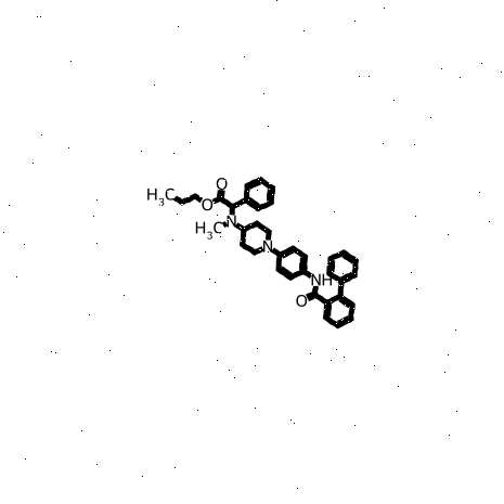 CCCOC(=O)C(c1ccccc1)N(C)C1CCN(c2ccc(NC(=O)c3ccccc3-c3ccccc3)cc2)CC1